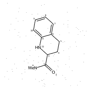 CNC(=O)C1CCc2ccccc2N1